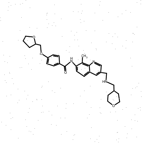 Cc1c(NC(=O)c2ccc(OCC3CCCO3)cc2)ccc2cc(CNCC3CCOCC3)cnc12